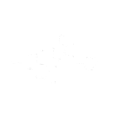 Cc1cc(C)c(-c2c(C)nn3c2nc(C)c2ccn(Cc4ccccn4)c23)c(C)c1.Cl